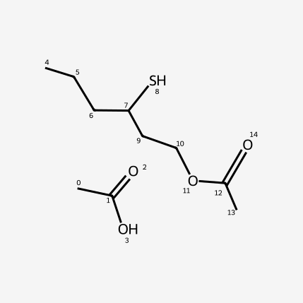 CC(=O)O.CCCC(S)CCOC(C)=O